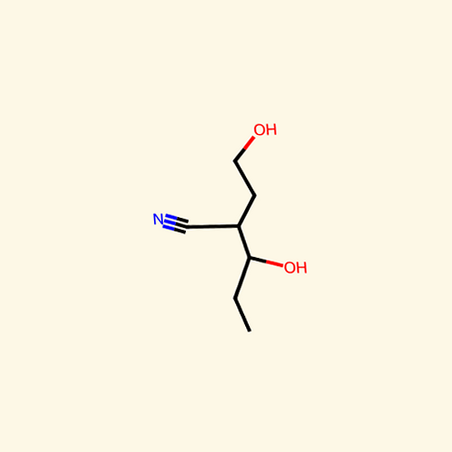 CCC(O)C(C#N)CCO